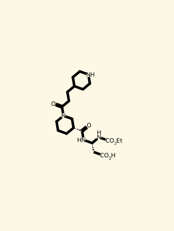 CCOC(=O)N[C@H](CC(=O)O)NC(=O)[C@@H]1CCCN(C(=O)CCC2CCNCC2)C1